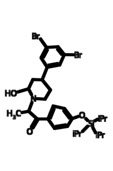 CC(C(=O)c1ccc(O[Si](C(C)C)(C(C)C)C(C)C)cc1)N1CCC(c2cc(Br)cc(Br)c2)CC1O